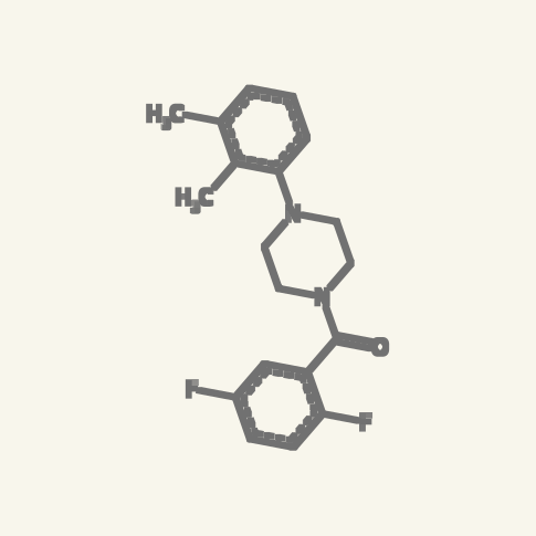 Cc1cccc(N2CCN(C(=O)c3cc(F)ccc3F)CC2)c1C